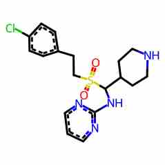 O=S(=O)(CCc1ccc(Cl)cc1)C(Nc1ncccn1)C1CCNCC1